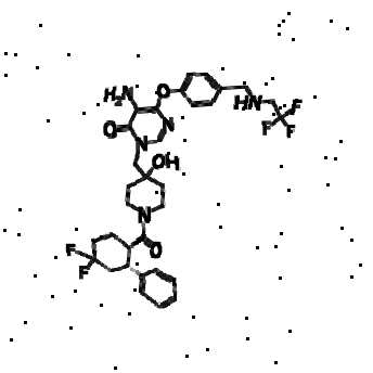 Nc1c(Oc2ccc(CNCC(F)(F)F)cc2)ncn(CC2(O)CCN(C(=O)[C@@H]3CCC(F)(F)C[C@H]3c3ccccc3)CC2)c1=O